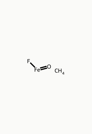 C.[O]=[Fe][F]